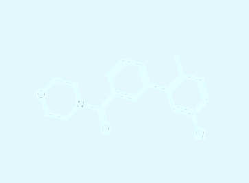 Cc1ccc(Cl)cc1-c1cccc(C(=O)N2CCOCC2)c1